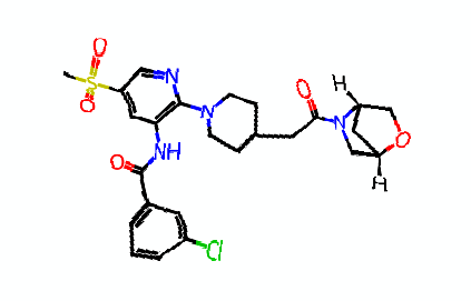 CS(=O)(=O)c1cnc(N2CCC(CC(=O)N3C[C@@H]4C[C@H]3CO4)CC2)c(NC(=O)c2cccc(Cl)c2)c1